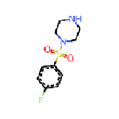 O=S(=O)(c1ccc(F)cc1)N1CCNCC1